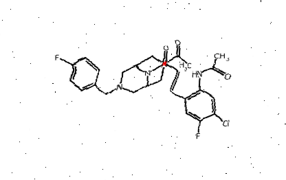 CC(=O)Nc1cc(Cl)c(F)cc1/C=C/C(=O)N1C2CN(Cc3ccc(F)cc3)CC1CN(C(C)=O)C2